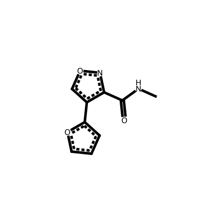 CNC(=O)c1nocc1-c1ccco1